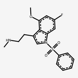 CNCCc1cn(S(=O)(=O)c2ccccc2)c2cc(F)cc(OC)c12